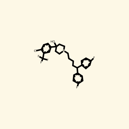 OC1(c2ccc(Cl)c(C(F)(F)F)c2)CCN(CCCCC(c2ccc(F)cc2)c2ccc(F)cc2)CC1